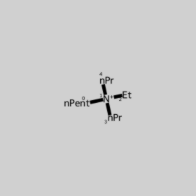 CCCCC[N+](CC)(CCC)CCC